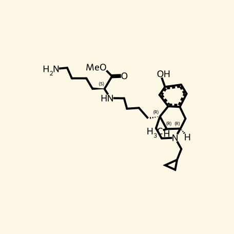 COC(=O)[C@H](CCCCN)NCCCC[C@]12CCN(CC3CC3)[C@H](Cc3ccc(O)cc31)[C@@H]2C